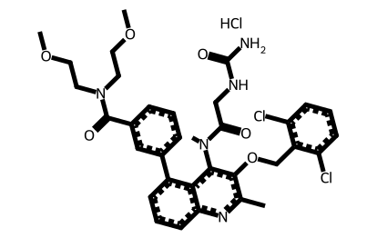 COCCN(CCOC)C(=O)c1cccc(-c2cccc3nc(C)c(OCc4c(Cl)cccc4Cl)c(N(C)C(=O)CNC(N)=O)c23)c1.Cl